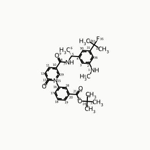 CNc1cc([C@@H](C)NC(=O)c2ccc(=O)n(-c3cccc(C(=O)OC(C)(C)C)c3)c2)cc(C(C)(C)F)c1